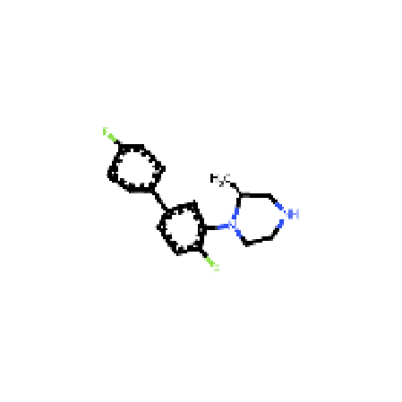 C[C@H]1CNCCN1c1cc(-c2ccc(F)cc2)ccc1F